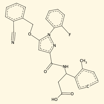 Cc1ccccc1C(CC(=O)O)NC(=O)c1cc(OCc2ccccc2C#N)n(-c2ccccc2F)n1